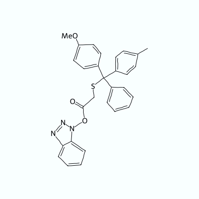 COc1ccc(C(SCC(=O)On2nnc3ccccc32)(c2ccccc2)c2ccc(C)cc2)cc1